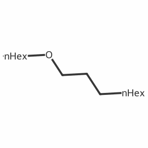 CCCCC[CH]OCCCCCCCCC